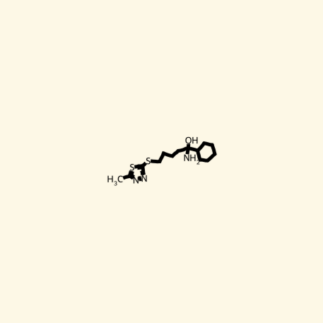 Cc1nnc(SCCCCC(N)(O)C2CCCCC2)s1